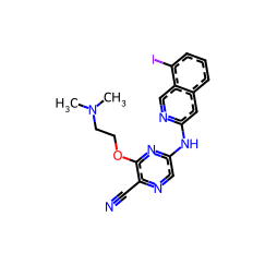 CN(C)CCOc1nc(Nc2cc3cccc(I)c3cn2)cnc1C#N